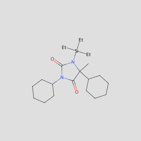 CC[Si](CC)(CC)N1C(=O)N(C2CCCCC2)C(=O)C1(C)C1CCCCC1